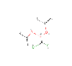 CC(C)OB(OC(C)C)C(Cl)Cl